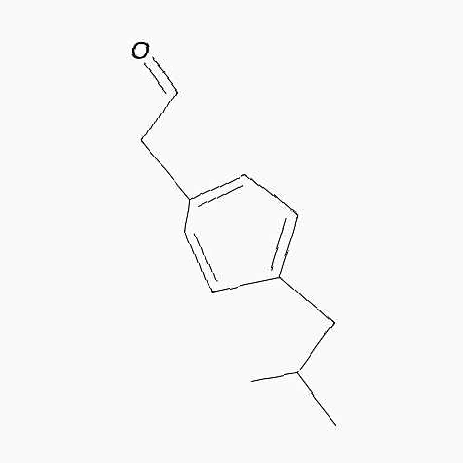 CC(C)Cc1ccc(CC=O)cc1